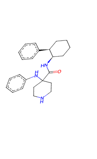 O=C(N[C@@H]1CCCC[C@@H]1c1ccccc1)C1(Nc2ccccc2)CCNCC1